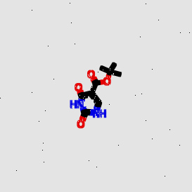 CC(C)(C)OC(=O)c1c[nH]c(=O)[nH]c1=O